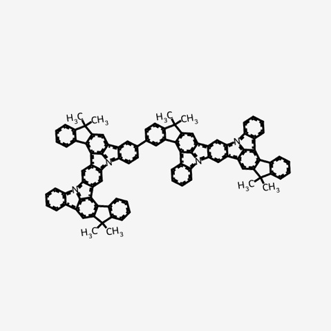 CC1(C)c2ccccc2-c2c1cc1c3cc4c(cc3n3c5ccccc5c2c13)c1cc2c(c3c5ccccc5n4c13)-c1cc(-c3ccc4c(c3)c3cc5c(c6c7cc8c(cc7n4c36)c3c4c(cc6c7ccccc7n8c63)C(C)(C)c3ccccc3-4)-c3ccccc3C5(C)C)ccc1C2(C)C